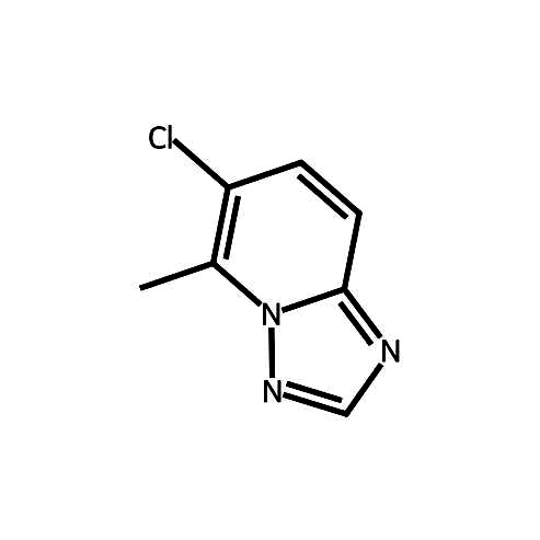 Cc1c(Cl)ccc2ncnn12